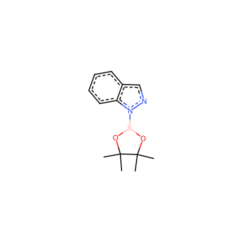 CC1(C)OB(n2ncc3ccccc32)OC1(C)C